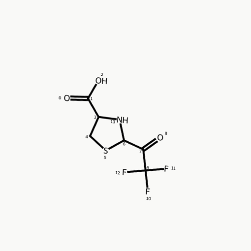 O=C(O)C1CSC(C(=O)C(F)(F)F)N1